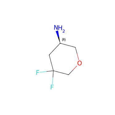 N[C@H]1COCC(F)(F)C1